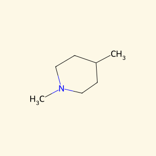 CC1CCN(C)CC1